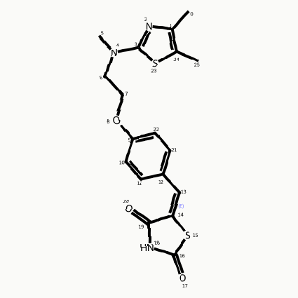 Cc1nc(N(C)CCOc2ccc(/C=C3/SC(=O)NC3=O)cc2)sc1C